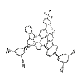 N#Cc1cc(C#N)cc(-c2ccc3c(c2)c2ccccc2n3-c2ccc(C#N)cc2-c2ccc(-c3ccc(C(F)(F)F)cc3C#N)cc2-n2c3ccccc3c3cc(-c4cc(C#N)cc(C#N)c4)ccc32)c1